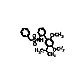 COc1cc(OC)c(C(C)C)cc1-c1ccccc1NS(=O)(=O)Cc1ccccc1